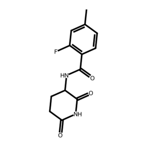 Cc1ccc(C(=O)NC2CCC(=O)NC2=O)c(F)c1